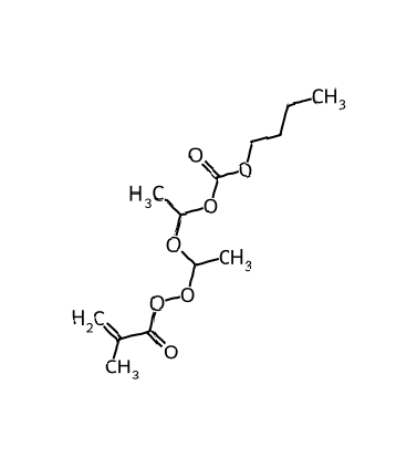 C=C(C)C(=O)OOC(C)OC(C)OC(=O)OCCCC